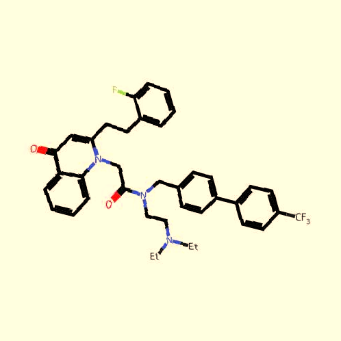 CCN(CC)CCN(Cc1ccc(-c2ccc(C(F)(F)F)cc2)cc1)C(=O)Cn1c(CCc2ccccc2F)cc(=O)c2ccccc21